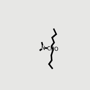 CCCCCCCCCC.CN(C)C=O